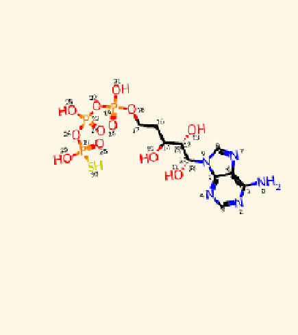 Nc1ncnc2c1ncn2[C@H](O)[C@@H](O)C(O)CCOP(=O)(O)OP(=O)(O)OP(=O)(O)S